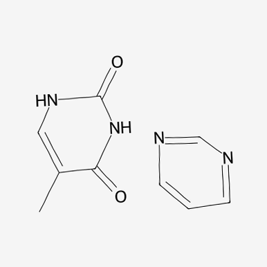 Cc1c[nH]c(=O)[nH]c1=O.c1cncnc1